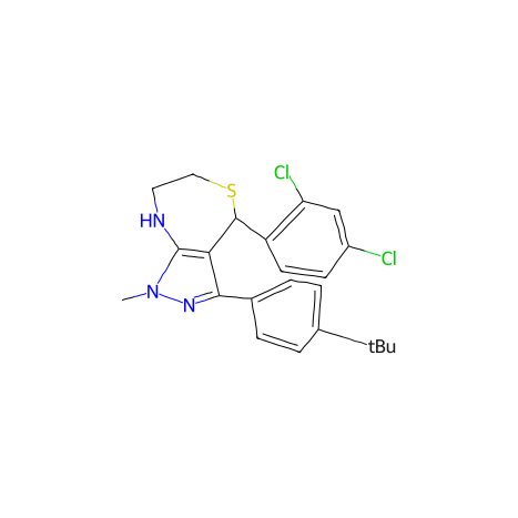 Cn1nc(-c2ccc(C(C)(C)C)cc2)c2c1NCCSC2c1ccc(Cl)cc1Cl